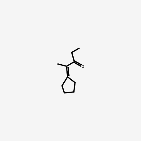 CCC(=O)C(I)=C1CCCC1